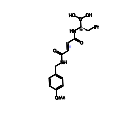 COc1ccc(CNC(=O)/C=C/C(=O)N[C@@H](CC(C)C)B(O)O)cc1